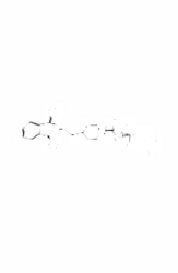 CC(C)(C)OC(=O)N1CCC(CCN2C(=O)c3ccccc3C2=O)CC1